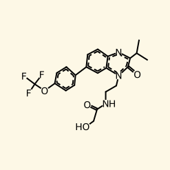 CC(C)c1nc2ccc(-c3ccc(OC(F)(F)F)cc3)cc2n(CCNC(=O)CO)c1=O